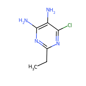 CCc1nc(N)c(N)c(Cl)n1